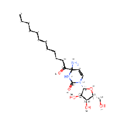 CCCCCCCCCCCC(=O)C1(N)C=CN([C@@H]2O[C@H](CO)[C@@H](O)[C@H]2O)C(=O)N1